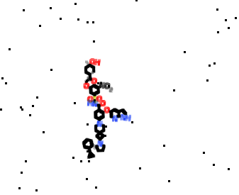 C[C@]1(O)CC[C@H]([C@@H]2COc3cc(S(=O)(=O)NC(=O)c4ccc(N5CCC6(CC5)CC(N5CCC[C@@H]5c5ccccc5C5CC5)C6)cc4Oc4cnc5[nH]ccc5c4)cc([N+](=O)[O-])c3O2)CC1